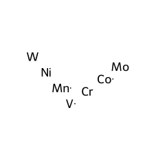 [Co].[Cr].[Mn].[Mo].[Ni].[V].[W]